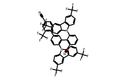 N#Cc1ccc(-c2ccc(-n3c4ccc(C(F)(F)F)cc4c4cc(C(F)(F)F)ccc43)c(-c3c(C#N)cccc3-n3c4ccc(C(F)(F)F)cc4c4cc(C(F)(F)F)ccc43)c2)c(C(F)(F)F)c1